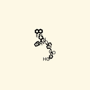 CCc1cccc2cccc(N3CCc4c(nc(OCC56CCCN5C(COC(=O)N5CC[C@H](O)C5)CC6)nc4N4CC5CCC(C4)N5)C3)c12